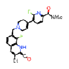 CCC1=Cc2ccc(CN3CC=C(c4ccc(C(=O)NC)nc4F)CC3)c(F)c2NC1=C=O